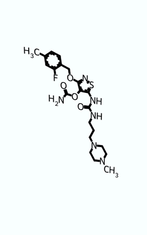 Cc1ccc(COc2nsc(NC(=O)NCCCN3CCN(C)CC3)c2OC(N)=O)c(F)c1